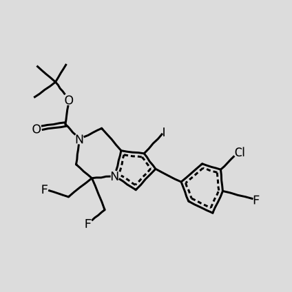 CC(C)(C)OC(=O)N1Cc2c(I)c(-c3ccc(F)c(Cl)c3)cn2C(CF)(CF)C1